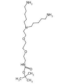 CC(C)(C)OC(=O)NCCOCCOCCN(CCCCCN)CCCCCN